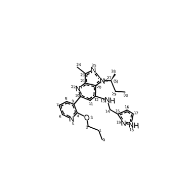 CCCOc1ncccc1-c1cc(NCc2cc[nH]n2)c2c(n1)c(C)nn2[C@@H](C)CC